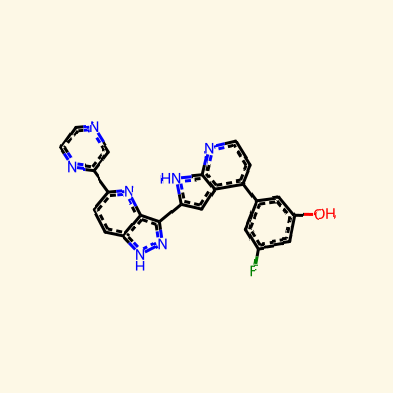 Oc1cc(F)cc(-c2ccnc3[nH]c(-c4n[nH]c5ccc(-c6cnccn6)nc45)cc23)c1